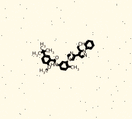 CCc1c(-c2cn(-c3cc(NC(=O)c4cc(C(C)(C)C)ccc4OC)ccc3C)cn2)cnn1-c1ccccc1